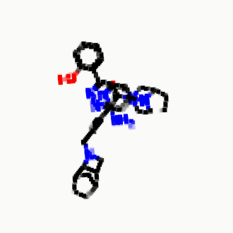 Nc1nnc(-c2ccccc2O)cc1N1CC2CCC(C1)N2c1ccnc(C#CCN2CC3C4CCC(C4)C32)c1